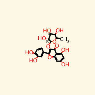 CC1OC(Oc2c(-c3ccc(O)c(O)c3)oc3cc(O)cc(O)c3c2=O)[C@H](O)[C@H](O)C1O